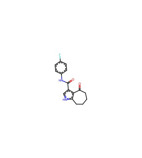 O=C(Nc1ccc(F)cc1)c1c[nH]c2c1C(=O)CCCC2